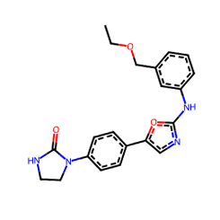 CCOCc1cccc(Nc2ncc(-c3ccc(N4CCNC4=O)cc3)o2)c1